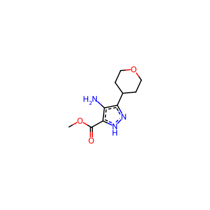 COC(=O)c1[nH]nc(C2CCOCC2)c1N